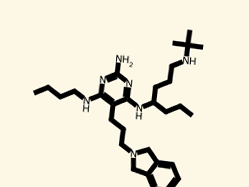 CCCCNc1nc(N)nc(NC(CCC)CCCNC(C)(C)C)c1CCCN1Cc2ccccc2C1